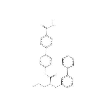 CCCN(Cc1cccc(-c2ccncc2)c1)C(=O)Oc1ccc(-c2ccc(C(=O)NC)cc2)cc1